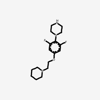 Fc1cc(OCCN2CCCCC2)cc(F)c1N1CCNCC1